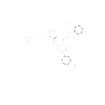 CCCCN(CCCCN(C)C)C(=O)CN1C[C@H](c2ccc3c(c2)OCO3)[C@@H](C(=O)O)[C@@H]1CCOc1ccccc1OC